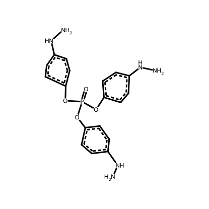 NNc1ccc(OP(=O)(Oc2ccc(NN)cc2)Oc2ccc(NN)cc2)cc1